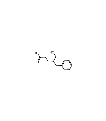 O=C(O)CC[C@H](CO)Cc1ccccc1